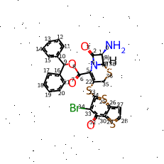 N[C@@H]1C(=O)N2C(C(=O)OC(c3ccccc3)c3ccccc3)=C(Sc3sc4ccsc4c(=O)c3Br)CS[C@H]12